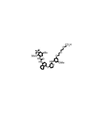 COc1cc(Nc2cc(Oc3ccc(NC(=O)Nc4cc(C(C)(C)C)cc(S(C)(=O)=O)c4OC)c4ccccc34)ccn2)cc(OCCOCCOCC(=O)O)c1